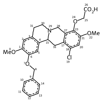 COc1cc2c(cc1OCc1ccccc1)C1Cc3c(Cl)cc(OC)c(OCC(=O)O)c3CN1CC2